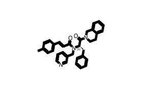 Cc1ccc(C=CC(=O)N(Cc2cccnc2)[C@@H](Cc2ccccc2)C(=O)N2CCc3ccccc3C2)cc1